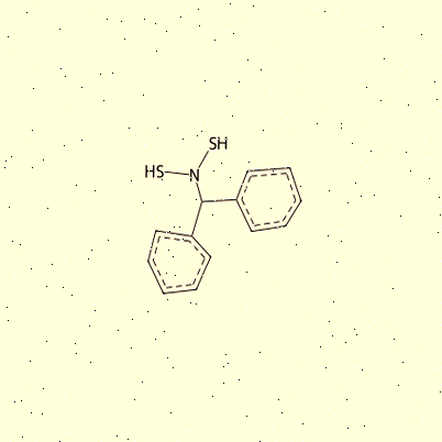 SN(S)C(c1ccccc1)c1ccccc1